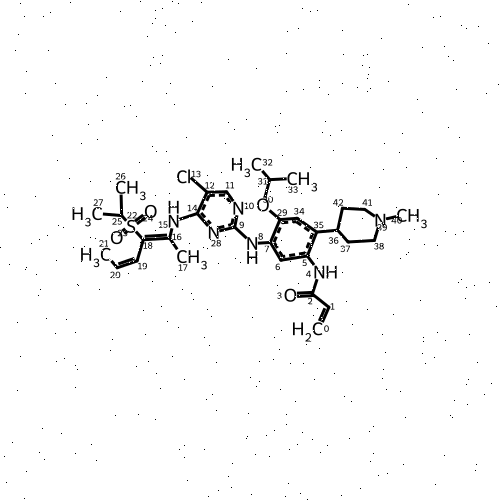 C=CC(=O)Nc1cc(Nc2ncc(Cl)c(N/C(C)=C(/C=C\C)S(=O)(=O)C(C)C)n2)c(OC(C)C)cc1C1CCN(C)CC1